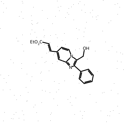 CCOC(=O)/C=C/c1ccn2c(CO)c(-c3ccccc3)nc2c1